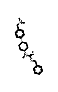 CN(C)Cc1ccc([C@H]2CC[C@H](N(C)C(=S)SCc3ccccc3)CC2)cc1